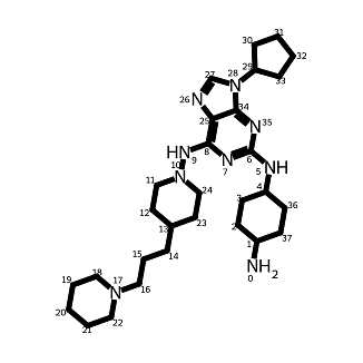 NC1CCC(Nc2nc(NN3CCC(CCCN4CCCCC4)CC3)c3ncn(C4CCCC4)c3n2)CC1